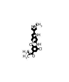 CN(C)C(=O)c1cc(Cl)c(Nc2cc3[nH]c(-c4cnn(C)c4)cc3cn2)c(Cl)c1